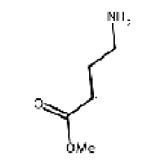 COC(=O)[CH]CCN